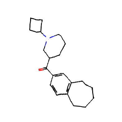 O=C(c1ccc2c(c1)CCCCC2)C1CCCN(C2CCC2)C1